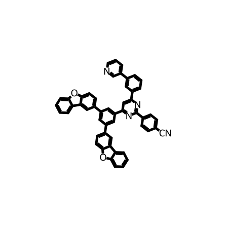 N#Cc1ccc(-c2nc(-c3cccc(-c4cccnc4)c3)cc(-c3cc(-c4ccc5oc6ccccc6c5c4)cc(-c4ccc5oc6ccccc6c5c4)c3)n2)cc1